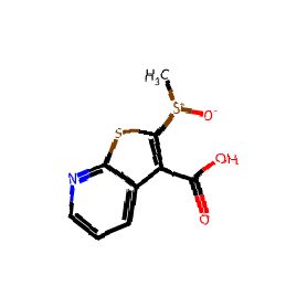 C[S+]([O-])c1sc2ncccc2c1C(=O)O